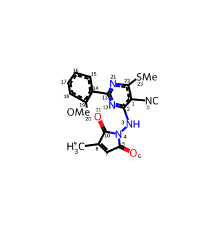 [C-]#[N+]c1c(NN2C(=O)C=C(C)C2=O)nc(-c2ccccc2OC)nc1SC